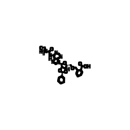 CCNC(=O)Nc1ncnc2c1ncn2[C@@H]1O[C@H](COCc2ccccc2C(=O)O)[C@@H]2O[C@H](c3ccccc3)OC21